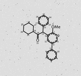 COc1ncc(-c2ccccc2)cc1C(C(=O)C1CCCCC1)c1ccccc1